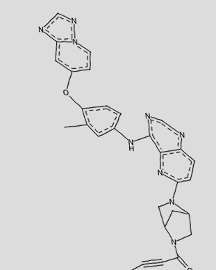 CC#CC(=O)N1CC2CC1CN2c1ccc2ncnc(Nc3ccc(Oc4ccn5ncnc5c4)c(C)c3)c2n1